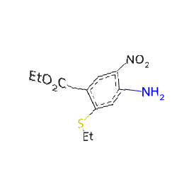 CCOC(=O)c1cc([N+](=O)[O-])c(N)cc1SCC